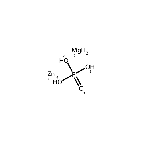 O=P(O)(O)O.[MgH2].[Zn]